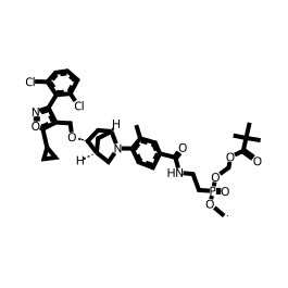 [CH2]OP(=O)(CCNC(=O)c1ccc(N2C[C@@H]3C[C@H]2C[C@H]3OCc2c(-c3c(Cl)cccc3Cl)noc2C2CC2)c(C)c1)OCOC(=O)C(C)(C)C